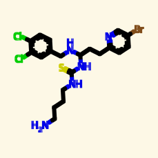 NCCCCNC(=S)NC(CCc1ccc(Br)cn1)NCc1ccc(Cl)c(Cl)c1